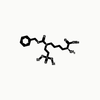 CCOP(=O)(CCN(CCCC[C@@H](C)C(=O)OC)C(=O)OCc1ccccc1)OCC